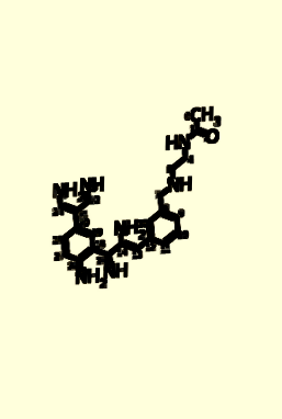 CC(=O)NCCNCc1cccc(/C=C(\N)C(=N)c2cc(/C(C=N)=C/N)ccc2N)c1